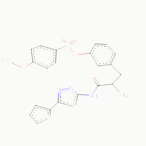 N#CC(Cc1cccc(OS(=O)(=O)c2ccc(OC(F)(F)F)cc2)c1)C(=O)Nc1nnc(-c2cccs2)s1